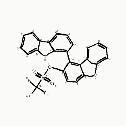 O=S(=O)(Oc1ccc2oc3ccccc3c2c1-c1cccc2c1oc1ccccc12)C(F)(F)F